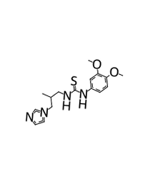 COc1ccc(NC(=S)NCC(C)Cn2ccnc2)cc1OC